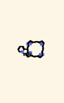 CCCC(C)N1CC=CC=C1c1c2nc(cc3ccc(cc4nc(cc5ccc1[nH]5)C=C4)[nH]3)C=C2